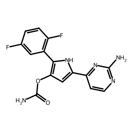 NC(=O)Oc1cc(-c2ccnc(N)n2)[nH]c1-c1cc(F)ccc1F